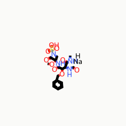 CNC(=O)C(NC=O)C(OCc1ccccc1)C(=O)NC1(OC)CN(S(=O)(=O)O)C1=O.[NaH]